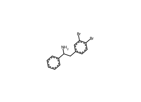 NC(Cc1ccc(Br)c(Br)c1)c1ccccc1